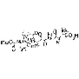 CCCC(NC(=O)[C@@H]1CCCN1C(=O)[C@@H](NC(=O)OCC(C)C)C(C)C)C(=O)C(=O)NCC(=O)N[C@H](C(=O)O)[C@@H](C)CC